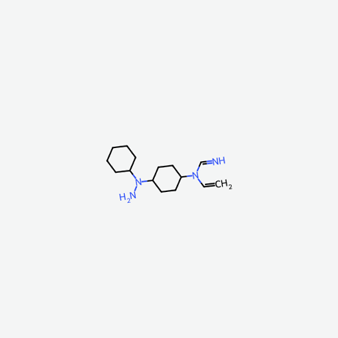 C=CN(C=N)C1CCC(N(N)C2CCCCC2)CC1